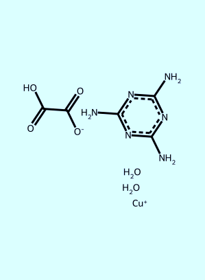 Nc1nc(N)nc(N)n1.O.O.O=C([O-])C(=O)O.[Cu+]